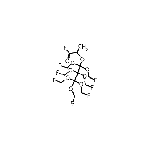 CC(OC(OCF)(OCF)C(OCF)(OCF)C(OCF)(OCF)OCF)C(=O)F